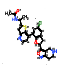 CC(=O)NC(C)c1cc2nccc(-c3cc(Cl)cc4c3OC(c3onc5c3CNCC5)C4)c2s1